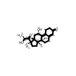 C[C@H](O)C(=O)[C@@]1(C)CC[C@H]2[C@@H]3CCC4=CC(=O)CCC4=C3[C@@H](O)CC21C